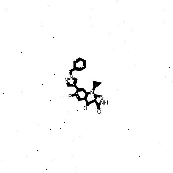 O=c1[nH]sc2c1c(=O)c1cc(F)c(-c3cnn(Cc4ccccc4)c3)cc1n2C1CC1